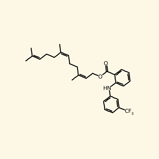 CC(C)=CCCC(C)=CCCC(C)=CCOC(=O)c1ccccc1Nc1cccc(C(F)(F)F)c1